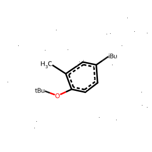 CCC(C)c1ccc(OC(C)(C)C)c(C)c1